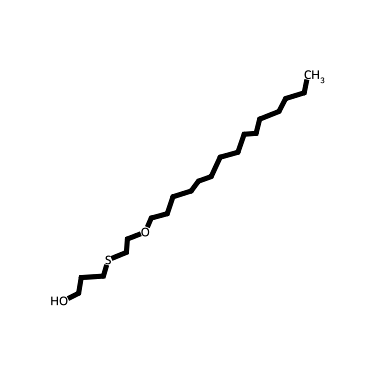 CCCCCCCCCCCCCCCOCCSCCCO